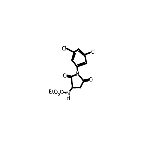 CCOC(=O)NC1CC(=O)N(c2cc(Cl)cc(Cl)c2)C1=O